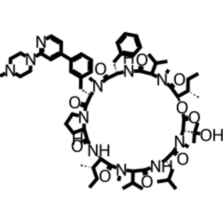 CC[C@H](C)[C@@H]1NC(=O)[C@@H]2CCCN2C(=O)[C@H](Cc2cccc(-c3ccnc(N4CCN(C)CC4)c3)c2)N(C)C(=O)[C@H](Cc2ccccc2)NC(=O)C(C(C)C)N(C)C(=O)[C@@H]([C@@H](C)CC)OC(=O)[C@H](C(C)(C)O)N(C)C(=O)[C@H](CC(C)C)NC(=O)C(C(C)C)N(C)C1=O